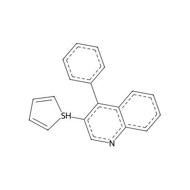 C1=C[SH](c2cnc3ccccc3c2-c2ccccc2)C=C1